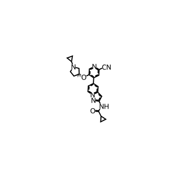 N#Cc1cc(-c2ccn3nc(NC(=O)C4CC4)cc3c2)c(O[C@@H]2CCN(C3CC3)C2)cn1